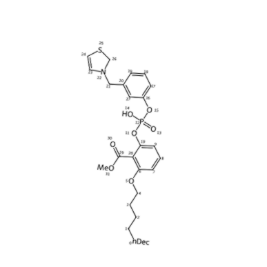 CCCCCCCCCCCCCCOc1cccc(OP(=O)(O)Oc2cccc(CN3C=CSC3)c2)c1C(=O)OC